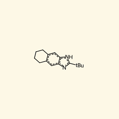 CC(C)(C)c1nc2cc3c(cc2[nH]1)CCCC3